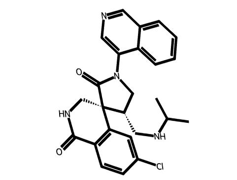 CC(C)NC[C@H]1CN(c2cncc3ccccc23)C(=O)[C@@]12CNC(=O)c1ccc(Cl)cc12